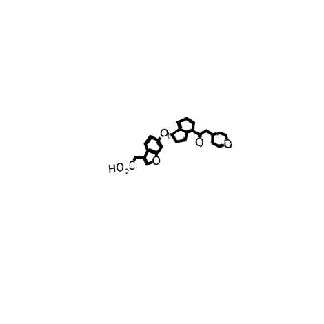 O=C(O)CC1COc2cc(O[C@@H]3CCc4c(C(=O)CC5CCOCC5)cccc43)ccc21